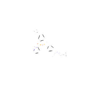 C[C@H](NCC1CC1)c1ccc(S(=O)(=O)c2ccc(C3CC3)cc2S(=O)(=O)c2ccccn2)cc1